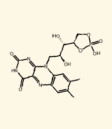 Cc1cc2nc3c(=O)[nH]c(=O)nc-3n(C[C@H](O)[C@H](O)[C@H]3COP(=O)(O)O3)c2cc1C